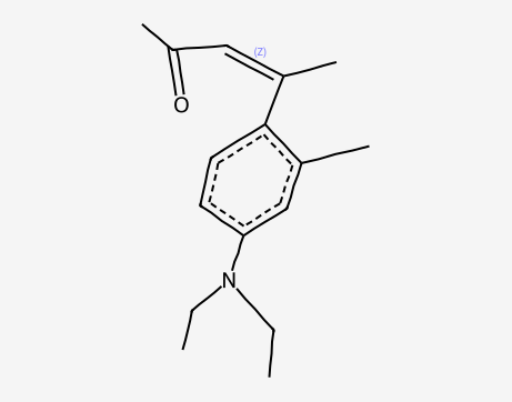 CCN(CC)c1ccc(/C(C)=C\C(C)=O)c(C)c1